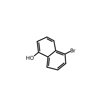 Oc1cccc2c(Br)cccc12